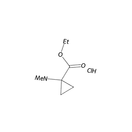 CCOC(=O)C1(NC)CC1.Cl